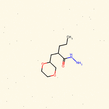 CCCC(CC1COCCO1)C(=O)NN